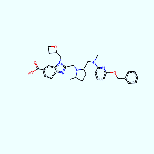 CC1CCC(CN(C)c2cccc(OCc3ccccc3)n2)N1Cc1nc2ccc(C(=O)O)cc2n1CC1CCO1